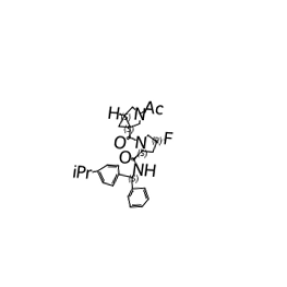 CC(=O)N1C[C@H]2C[C@@]2(C(=O)N2C[C@H](F)C[C@H]2C(=O)N[C@@H](c2ccccc2)c2ccc(C(C)C)cc2)C1